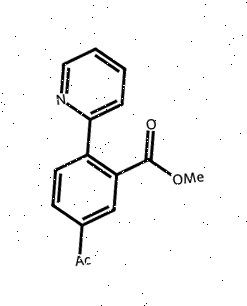 COC(=O)c1cc(C(C)=O)ccc1-c1ccccn1